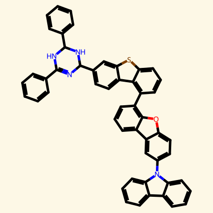 c1ccc(C2=NC(c3ccc4c(c3)sc3cccc(-c5cccc6c5oc5ccc(-n7c8ccccc8c8ccccc87)cc56)c34)NC(c3ccccc3)N2)cc1